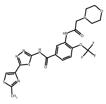 Cc1nc(-c2nnc(NC(=O)c3ccc(OC(F)(F)F)c(NC(=O)CN4CCOCC4)c3)s2)cs1